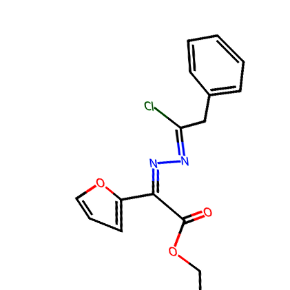 CCOC(=O)C(=NN=C(Cl)Cc1ccccc1)c1ccco1